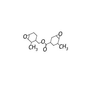 CC1CC(C(=O)OCC2CCC3OC3C2C)CC2OC12